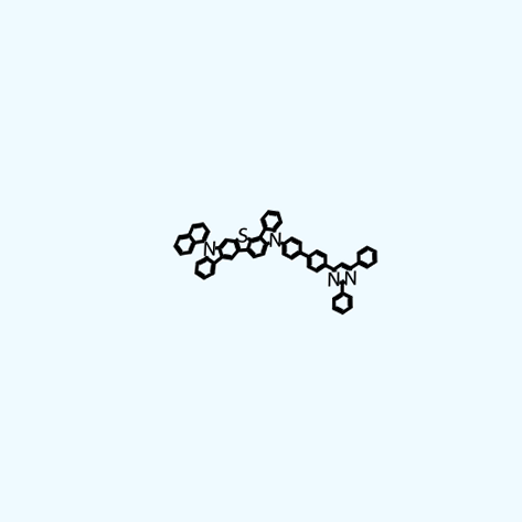 c1ccc(-c2cc(-c3ccc(-c4ccc(-n5c6ccccc6c6c7sc8cc9c(cc8c7ccc65)c5ccccc5n9-c5cccc6ccccc56)cc4)cc3)nc(-c3ccccc3)n2)cc1